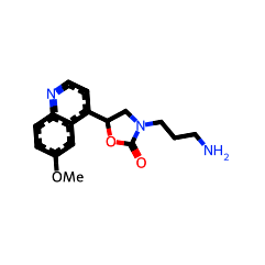 COc1ccc2nccc(C3CN(CCCN)C(=O)O3)c2c1